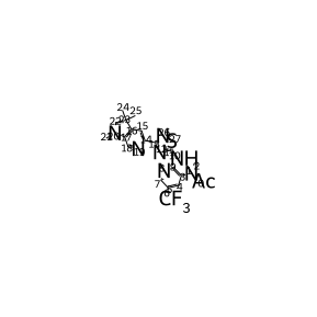 CC(=O)N(C)c1cc(C(F)(F)F)cnc1Nc1nc(-c2cc3c(cn2)N(C)CC3(C)C)ns1